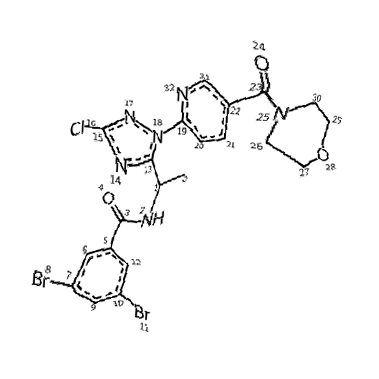 CC(NC(=O)c1cc(Br)cc(Br)c1)c1nc(Cl)nn1-c1ccc(C(=O)N2CCOCC2)cn1